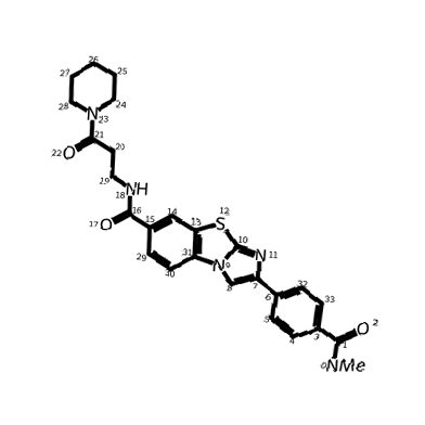 CNC(=O)c1ccc(-c2cn3c(n2)sc2cc(C(=O)NCCC(=O)N4CCCCC4)ccc23)cc1